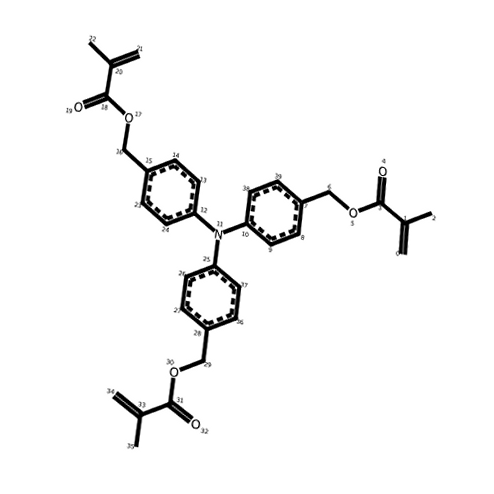 C=C(C)C(=O)OCc1ccc(N(c2ccc(COC(=O)C(=C)C)cc2)c2ccc(COC(=O)C(=C)C)cc2)cc1